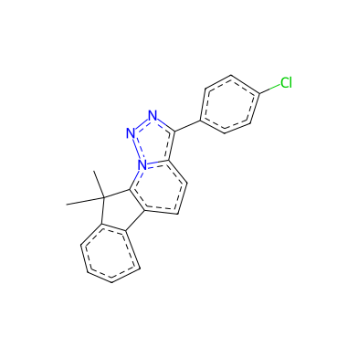 CC1(C)c2ccccc2-c2ccc3c(-c4ccc(Cl)cc4)nnn3c21